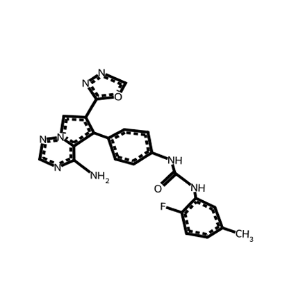 Cc1ccc(F)c(NC(=O)Nc2ccc(-c3c(-c4nnco4)cn4ncnc(N)c34)cc2)c1